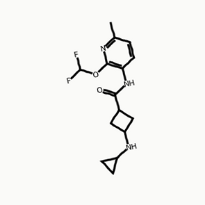 Cc1ccc(NC(=O)C2CC(NC3CC3)C2)c(OC(F)F)n1